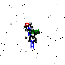 C[C@H]1CNCCc2ccc(N3CCOCC3)nc21.Cl.Cl